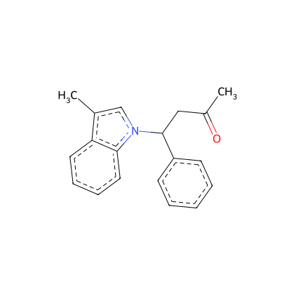 CC(=O)CC(c1ccccc1)n1cc(C)c2ccccc21